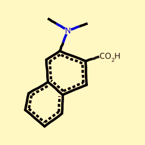 CN(C)c1cc2ccccc2cc1C(=O)O